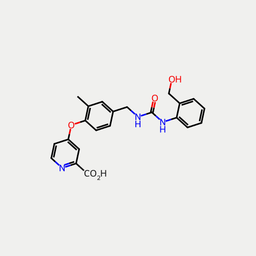 Cc1cc(CNC(=O)Nc2ccccc2CO)ccc1Oc1ccnc(C(=O)O)c1